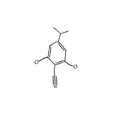 CC(C)c1cc(Cl)c(C#N)c(Cl)c1